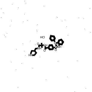 CC(C)(NC(=O)c1ccc(S(=O)(=O)Nc2ccccc2Oc2ccccc2)cc1)C(=O)NCC1CCNCC1.Cl